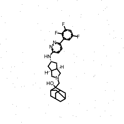 OC1(CN2C[C@H]3C[C@H](Nc4ccc(-c5cc(F)cc(F)c5F)nn4)C[C@H]3C2)C2CC3CC(C2)CC1C3